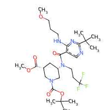 COCCCNc1nc(C(C)(C)C)ncc1C(=O)N(CCC(F)(F)F)[C@H]1C[C@@H](C(=O)OC)CN(C(=O)OC(C)(C)C)C1